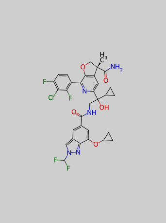 C[C@]1(C(N)=O)COc2c1cc(C(O)(CNC(=O)c1cc(OC3CC3)c3nn(C(F)F)cc3c1)C1CC1)nc2-c1ccc(F)c(Cl)c1F